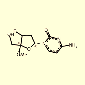 CO[C@]1(CO)O[C@@H](n2ccc(N)nc2=O)CC1F